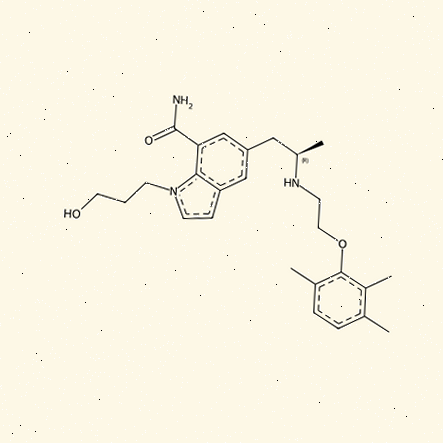 Cc1ccc(C)c(OCCN[C@H](C)Cc2cc(C(N)=O)c3c(ccn3CCCO)c2)c1C